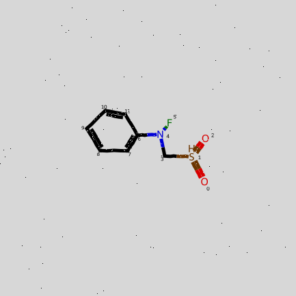 O=[SH](=O)[CH]N(F)c1ccccc1